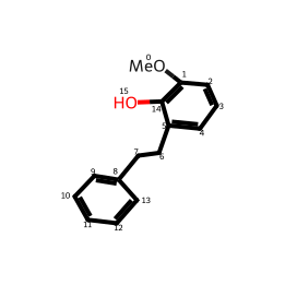 COc1cccc(CCc2ccccc2)c1O